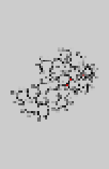 CC1(C)c2ccccc2-c2ccc(-c3ccccc3-c3c4ccc(N5C6=C(CCC=C6)CCc6ccccc65)cc4c(-c4ccccc4)c4ccc(N5c6ccccc6CCc6ccccc65)cc34)cc21